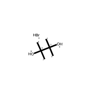 Br.CC(C)(O)C(C)(C)O